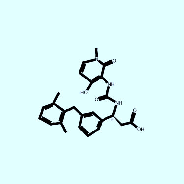 Cc1cccc(C)c1Cc1cccc([C@H](CC(=O)O)NC(=O)Nc2c(O)ccn(C)c2=O)c1